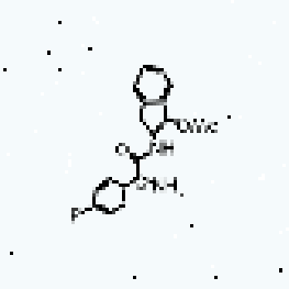 COC1c2ccccc2CC1NC(=O)[C@@H](N)c1ccc(F)cc1